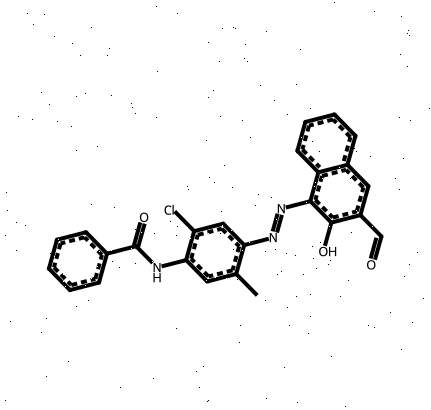 Cc1cc(NC(=O)c2ccccc2)c(Cl)cc1/N=N/c1c(O)c(C=O)cc2ccccc12